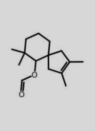 CC1=C(C)CC2(CCCC(C)(C)C2OC=O)C1